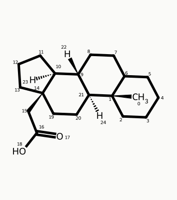 C[C@]12CCCCC1CC[C@H]1[C@@H]3CCC[C@@]3(CC(=O)O)CC[C@@H]12